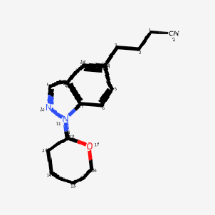 N#CCCCc1ccc2c(cnn2C2CCCCO2)c1